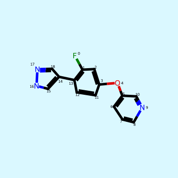 Fc1cc(Oc2cccnc2)ccc1C1=C[N]N=C1